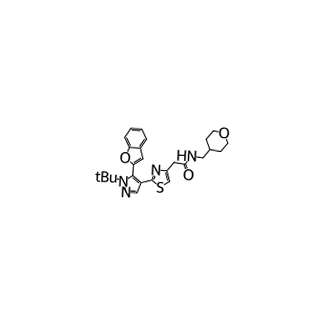 CC(C)(C)n1ncc(-c2nc(CC(=O)NCC3CCOCC3)cs2)c1-c1cc2ccccc2o1